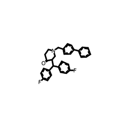 O=C1CCN(Cc2ccc(-c3ccccc3)cc2)CC1C(c1ccc(F)cc1)c1ccc(F)cc1